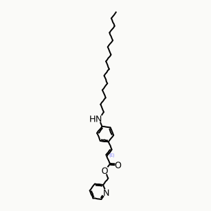 CCCCCCCCCCCCCCCNc1ccc(/C=C/C(=O)OCc2ccccn2)cc1